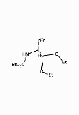 CCCC(NC(=O)OCC)[SiH](OCC)OCC